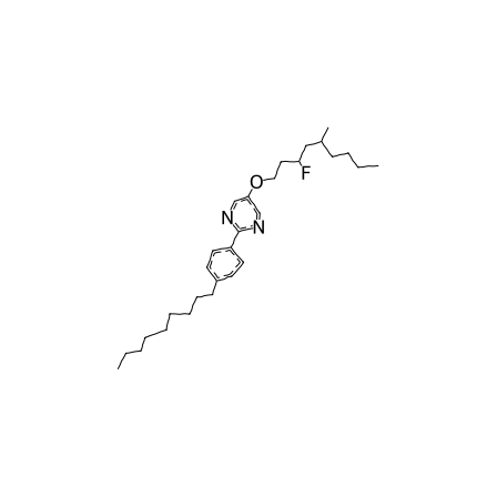 CCCCCCCCCc1ccc(-c2ncc(OCCC(F)CC(C)CCCC)cn2)cc1